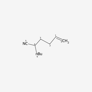 C=CCCC(C#N)CCCC